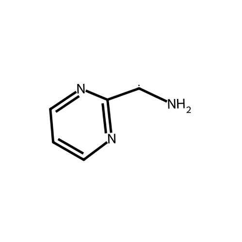 N[CH]c1ncccn1